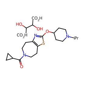 CC(C)N1CCC(Oc2nc3c(s2)CCN(C(=O)C2CC2)CC3)CC1.O=C(O)C(O)C(O)C(=O)O